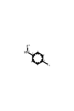 FNc1ccc(I)cc1